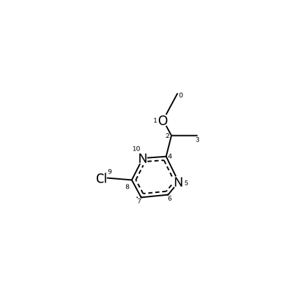 COC(C)c1nc[c]c(Cl)n1